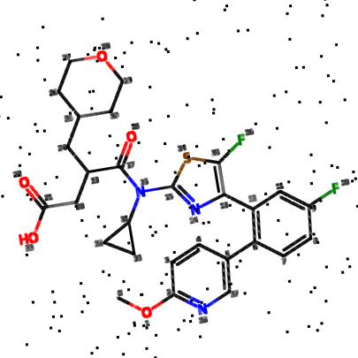 COc1ccc(-c2ccc(F)cc2-c2nc(N(C(=O)C(CC(=O)O)CC3CCOCC3)C3CC3)sc2F)cn1